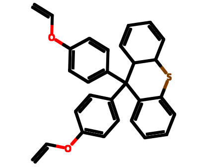 C=COc1ccc(C2(c3ccc(OC=C)cc3)c3ccccc3SC3C=CC=CC32)cc1